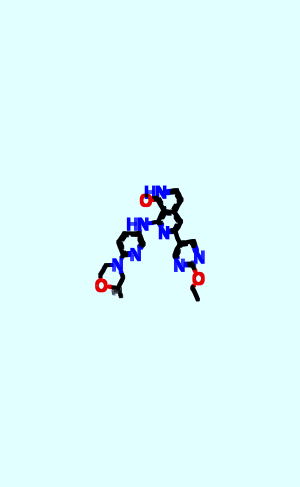 CCOc1ncc(-c2cc3cc[nH]c(=O)c3c(Nc3ccc(N4CCO[C@H](C)C4)nc3)n2)cn1